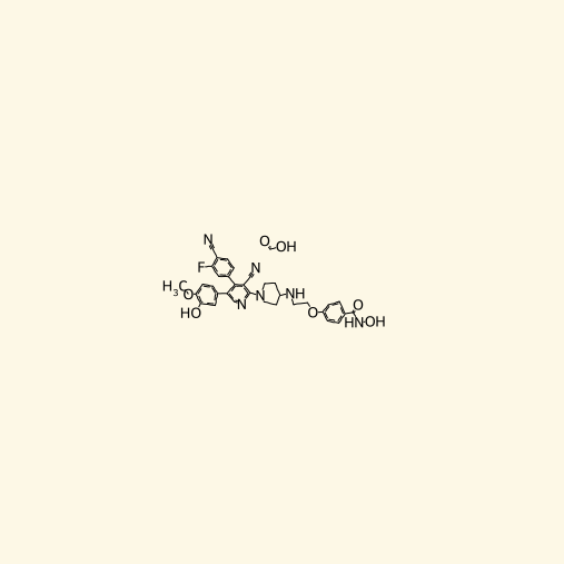 COc1ccc(-c2cnc(N3CCC(NCCOc4ccc(C(=O)NO)cc4)CC3)c(C#N)c2-c2ccc(C#N)c(F)c2)cc1O.O=CO